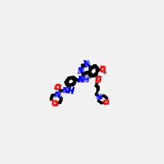 COc1cc2ncnc(Nc3cccc(NC(=O)N4CCOCC4)c3)c2cc1OCCCN1CCOCC1